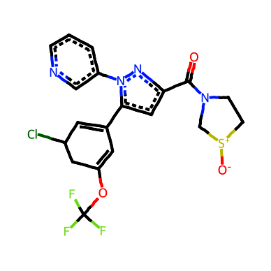 O=C(c1cc(C2=CC(Cl)CC(OC(F)(F)F)=C2)n(-c2cccnc2)n1)N1CC[S+]([O-])C1